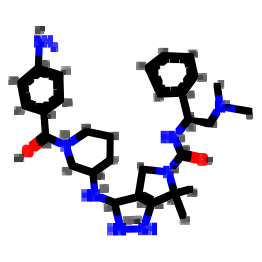 CN(C)C[C@@H](NC(=O)N1CC2=C(NNC2NC2CCCN(C(=O)c3ccc(N)cc3)C2)C1(C)C)c1ccccc1